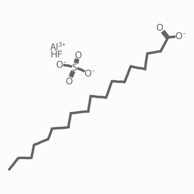 CCCCCCCCCCCCCCCCCC(=O)[O-].F.O=S(=O)([O-])[O-].[Al+3]